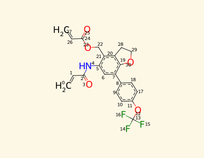 C=CC(=O)Nc1cc(-c2ccc(OC(F)(F)F)cc2)c2c(c1COC(=O)C=C)CCO2